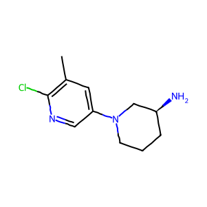 Cc1cc(N2CCC[C@H](N)C2)cnc1Cl